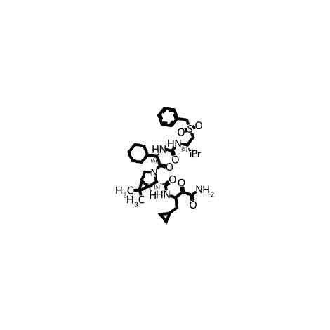 CC(C)[C@@H](CS(=O)(=O)Cc1ccccc1)NC(=O)N[C@H](C(=O)N1CC2[C@@H]([C@H]1C(=O)NC(CC1CC1)C(=O)C(N)=O)C2(C)C)C1CCCCC1